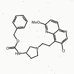 COc1ccc2ncc(Cl)c(CCN3CCC(NC(=O)OCc4ccccc4)C3)c2n1